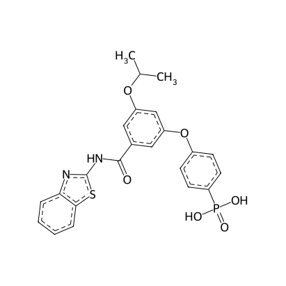 CC(C)Oc1cc(Oc2ccc(P(=O)(O)O)cc2)cc(C(=O)Nc2nc3ccccc3s2)c1